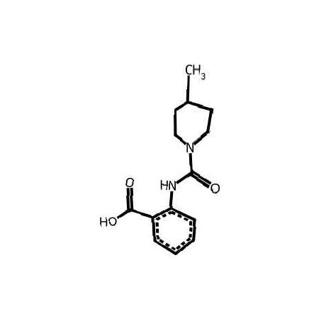 CC1CCN(C(=O)Nc2ccccc2C(=O)O)CC1